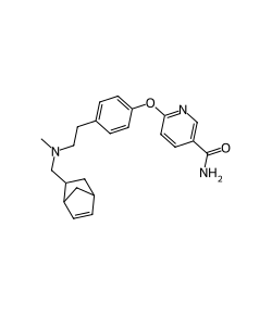 CN(CCc1ccc(Oc2ccc(C(N)=O)cn2)cc1)CC1CC2C=CC1C2